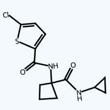 O=C(NC1(C(=O)NC2CC2)CCC1)c1ccc(Cl)s1